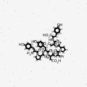 CC(C)C(NC(=O)C(CC(=O)O)NC(=O)C(Cc1ccc(O)cc1)NC(=O)C1CCCN1C(=O)C(N)Cc1ccc(O)cc1)C(=O)N1CCCC1C(=O)NC(CC(=O)O)C(=O)NC(Cc1ccc(O)cc1)C(=O)O